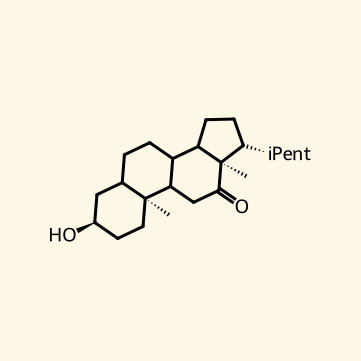 CCC[C@@H](C)C1CCC2C3CCC4C[C@H](O)CC[C@]4(C)C3CC(=O)[C@@]21C